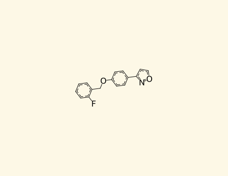 Fc1ccccc1COc1ccc(-c2ccon2)cc1